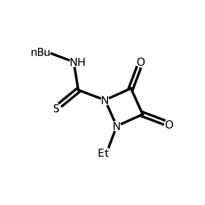 CCCCNC(=S)N1C(=O)C(=O)N1CC